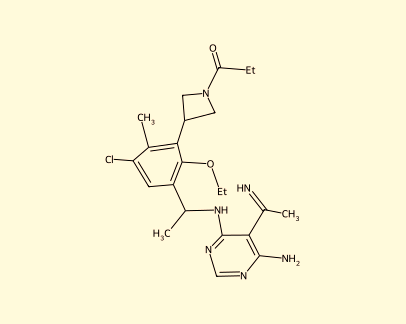 CCOc1c(C(C)Nc2ncnc(N)c2C(C)=N)cc(Cl)c(C)c1C1CN(C(=O)CC)C1